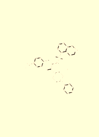 CN(C(Cc1ccc([N+](=O)[O-])cc1)C(=O)N1CCN(c2ccccc2)CC1)S(=O)(=O)c1cccc2cnccc12